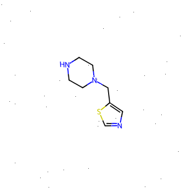 c1ncc(CN2CCNCC2)s1